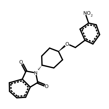 O=C1c2ccccc2C(=O)N1[C@H]1CC[C@H](OCc2cccc([N+](=O)[O-])c2)CC1